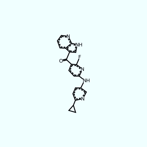 O=C(c1ccc(Nc2ccc(C3CC3)nc2)nc1F)c1c[nH]c2ncccc12